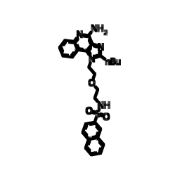 CCCCc1nc2c(N)nc3ccccc3c2n1CCOCCNS(=O)(=O)c1ccc2ccccc2c1